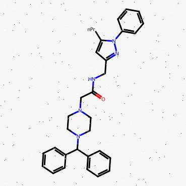 CCCc1cc(CNC(=O)CN2CCN(C(c3ccccc3)c3ccccc3)CC2)nn1-c1ccccc1